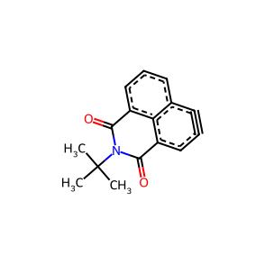 CC(C)(C)N1C(=O)c2cc#cc3cccc(c23)C1=O